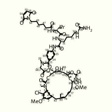 COc1cc2cc(c1Cl)N(C)C(=O)C[C@H](OC(=O)[C@H](C)N(C)C(=O)c1ccc(NC(=O)[C@H](CCCCNC(N)=O)NC(=O)[C@@H](NC(=O)CCCCCN3C(=O)C=CC3=O)C(C)C)cc1)[C@]1(C)O[C@H]1[C@H](C)[C@@H]1C[C@@](O)(NC(=O)O1)[C@H](OC)/C=C/C=C(\C)C2